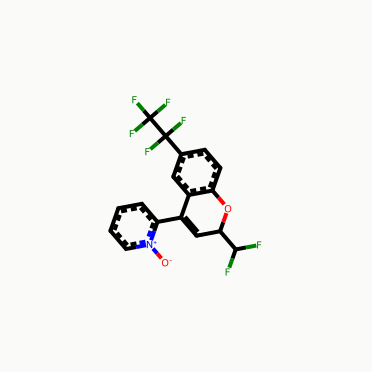 [O-][n+]1ccccc1C1=CC(C(F)F)Oc2ccc(C(F)(F)C(F)(F)F)cc21